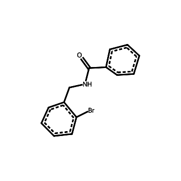 O=C(NCc1ccccc1Br)c1ccccc1